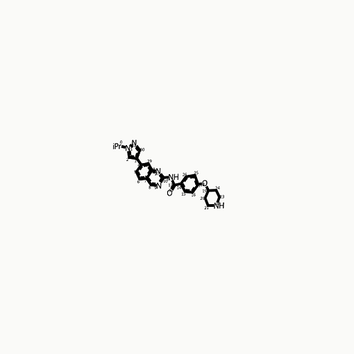 CC(C)n1cc(-c2ccc3cnc(NC(=O)c4ccc(OC5CCNCC5)cc4)nc3c2)cn1